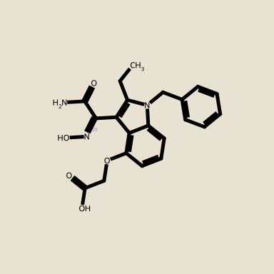 CCc1c(/C(=N/O)C(N)=O)c2c(OCC(=O)O)cccc2n1Cc1ccccc1